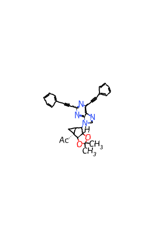 CC(=O)[C@]12CC1[C@@H](n1cnc3c(C#Cc4ccccc4)nc(C#Cc4ccccc4)nc31)[C@@H]1OC(C)(C)OC12